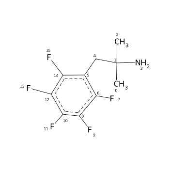 CC(C)(N)Cc1c(F)c(F)c(F)c(F)c1F